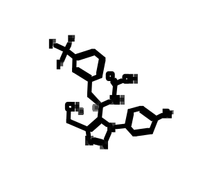 CCc1nnn(-c2ccc(Br)cc2)c1[C@@H](Cc1cccc(C(F)(F)F)c1)NC(=O)O